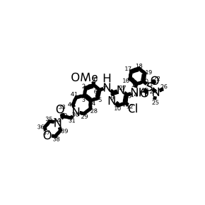 COc1cc2c(cc1Nc1ncc(Cl)c(Nc3ccccc3S(=O)(=O)N(C)C)n1)CCN(CC(=O)N1CCOCC1)CC2